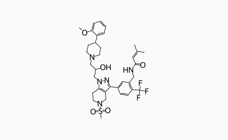 COc1ccccc1C1CCN(CC(O)Cn2nc(-c3ccc(C(F)(F)F)c(CNC(=O)C=C(C)C)c3)c3c2CCN(S(C)(=O)=O)C3)CC1